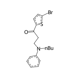 CCCCN(CCC(=O)c1ccc(Br)s1)c1ccccc1